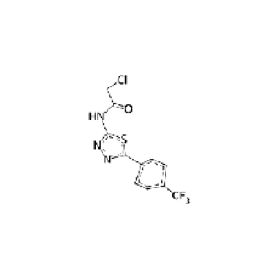 O=C(CCl)Nc1nnc(-c2ccc(C(F)(F)F)cc2)s1